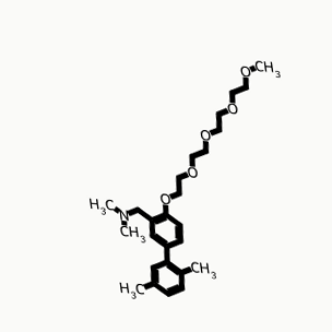 COCCOCCOCCOCCOc1ccc(-c2cc(C)ccc2C)cc1CN(C)C